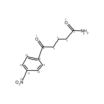 NC(=O)CCCC(=O)c1ccc([N+](=O)[O-])cc1